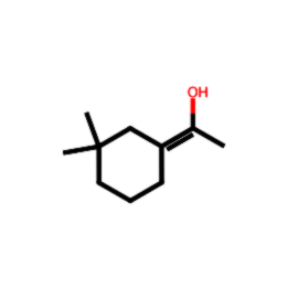 CC(O)=C1CCCC(C)(C)C1